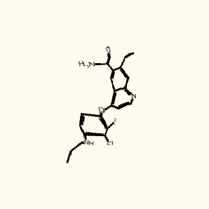 CCNc1ccc(Oc2ccnc3cc(CC)c(C(N)=O)cc23)c(F)c1Cl